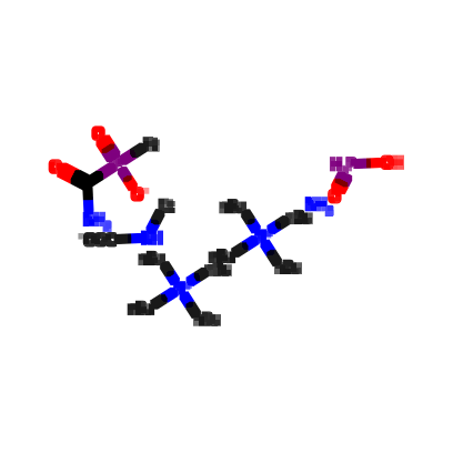 CCCC[N+](CCCC)(CCCC)CCCC.CCCC[N+](CCCC)(CCCC)CCCC.CCNC(=O)[O-].CCP(=O)([O-])C(N)=O.N.O=[PH2]O